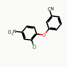 N#Cc1cccc(Oc2ccc([N+](=O)[O-])cc2Cl)c1